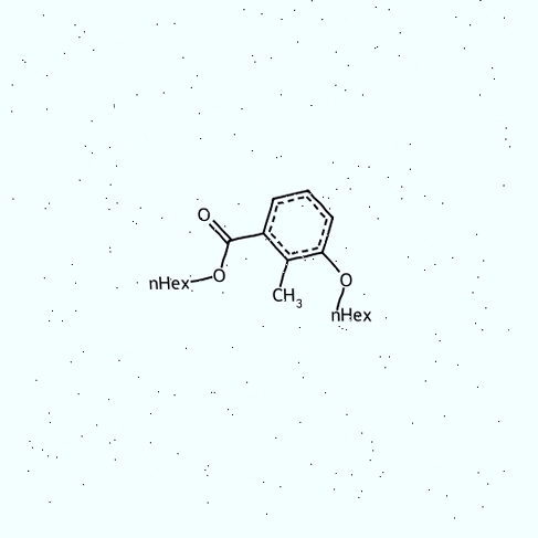 CCCCCCOC(=O)c1cccc(OCCCCCC)c1C